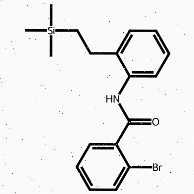 C[Si](C)(C)CCc1ccccc1NC(=O)c1ccccc1Br